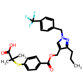 CCCc1nn(Cc2ccc(C(F)(F)F)cc2)cc1COC(=O)c1ccc(SC(C)(C)C(=O)O)cc1